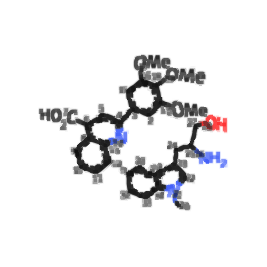 COc1cc(-c2cc(C(=O)O)c3ccccc3n2)cc(OC)c1OC.Cn1cc(CC(N)CO)c2ccccc21